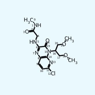 CNC(=O)CNc1nc2ccc(Cl)nc2n(C(COC)COC)c1=O